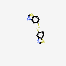 c1nc2cc(SSc3ccc4scnc4c3)ccc2s1